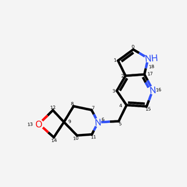 c1cc2cc(CN3CCC4(CC3)COC4)cnc2[nH]1